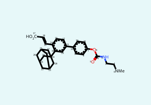 CNCCNC(=O)Oc1ccc(-c2ccc(/C=C/C(=O)O)c(C34CC5CC(CC(C5)C3)C4)c2)cc1